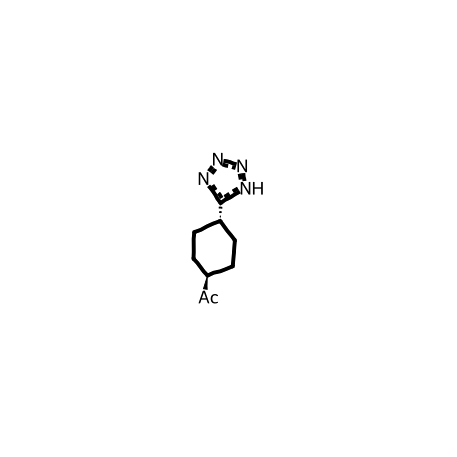 CC(=O)[C@H]1CC[C@H](c2nnn[nH]2)CC1